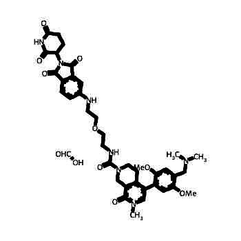 COc1cc(-c2cn(C)c(=O)c3c2CCN(C(=O)NCCOCCNc2ccc4c(c2)C(=O)N(C2CCC(=O)NC2=O)C4=O)C3)c(OC)cc1CN(C)C.O=CO